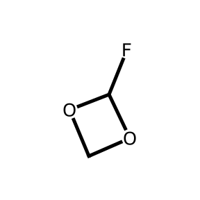 FC1OCO1